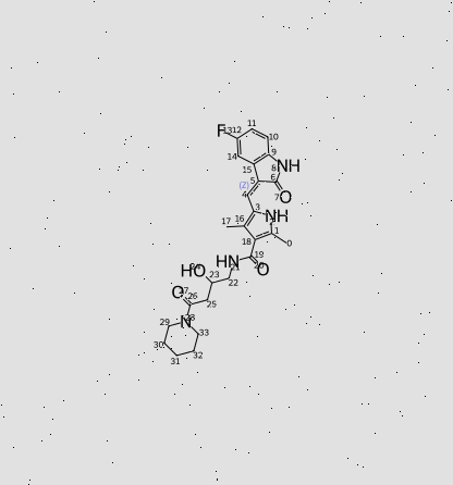 Cc1[nH]c(/C=C2\C(=O)Nc3ccc(F)cc32)c(C)c1C(=O)NCC(O)CC(=O)N1CCCCC1